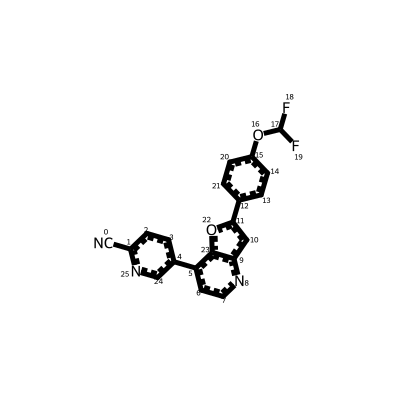 N#Cc1ccc(-c2ccnc3cc(-c4ccc(OC(F)F)cc4)oc23)cn1